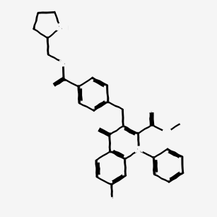 COC(=O)c1c(Cc2ccc(C(=O)NCC3CCCN3)cc2)c(=O)c2ccc(Cl)cc2n1-c1ccccc1